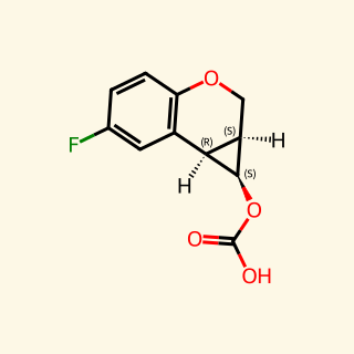 O=C(O)O[C@@H]1[C@@H]2COc3ccc(F)cc3[C@@H]21